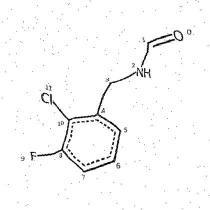 O=CNCc1cccc(F)c1Cl